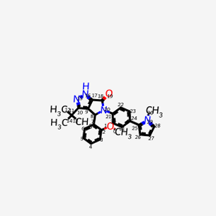 COc1ccccc1C1c2c(C(C)(C)C)n[nH]c2C(=O)N1c1ccc(-c2cccn2C)cc1